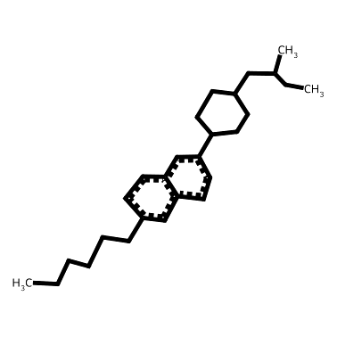 CCCCCCc1ccc2cc(C3CCC(CC(C)CC)CC3)ccc2c1